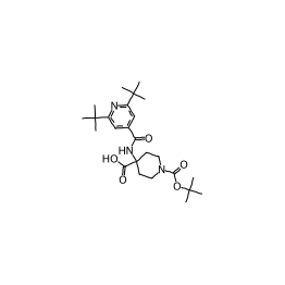 CC(C)(C)OC(=O)N1CCC(NC(=O)c2cc(C(C)(C)C)nc(C(C)(C)C)c2)(C(=O)O)CC1